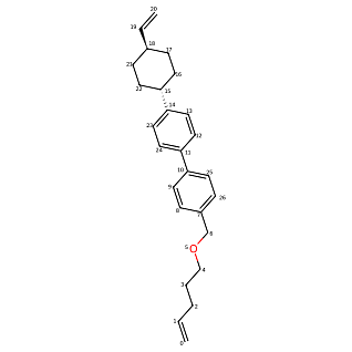 C=CCCCOCc1ccc(-c2ccc([C@H]3CC[C@H](C=C)CC3)cc2)cc1